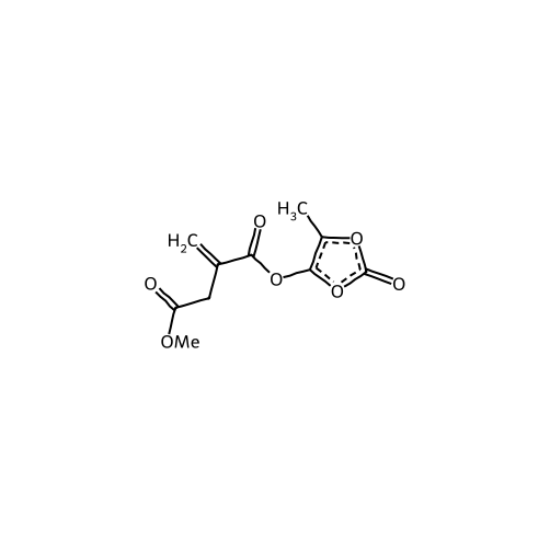 C=C(CC(=O)OC)C(=O)Oc1oc(=O)oc1C